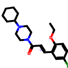 CCOc1ccc(Br)cc1/C=C/C(=O)N1CCN(C2CCCCC2)CC1